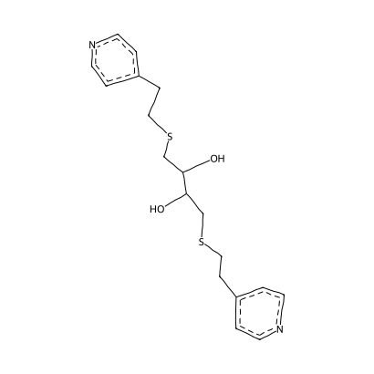 OC(CSCCc1ccncc1)C(O)CSCCc1ccncc1